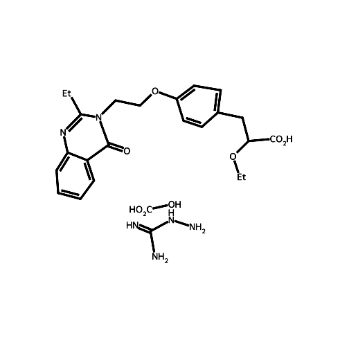 CCOC(Cc1ccc(OCCn2c(CC)nc3ccccc3c2=O)cc1)C(=O)O.N=C(N)NN.O=C(O)O